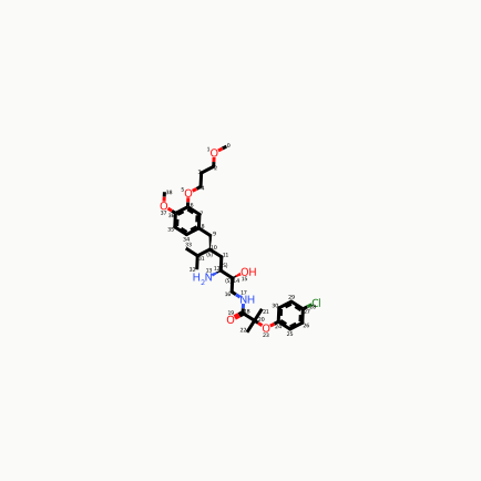 COCCCOc1cc(C[C@@H](C[C@H](N)[C@@H](O)CNC(=O)C(C)(C)Oc2ccc(Cl)cc2)C(C)C)ccc1OC